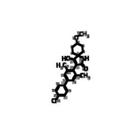 COC1CCC2(CC1)NC(=O)C(c1c(C)cc(-c3ccc(Cl)cc3)cc1C)=C2O